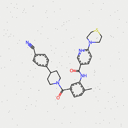 Cc1ccc(C(=O)N2CCC(c3ccc(C#N)cc3)CC2)cc1NC(=O)c1ccc(N2CCSCC2)nc1